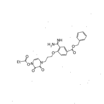 CCC(=O)On1ccn(CCCOc2ccc(C(=O)OCc3ccccc3)cc2C(=N)N)c(=O)c1=O